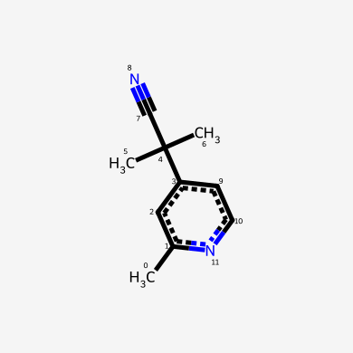 Cc1cc(C(C)(C)C#N)ccn1